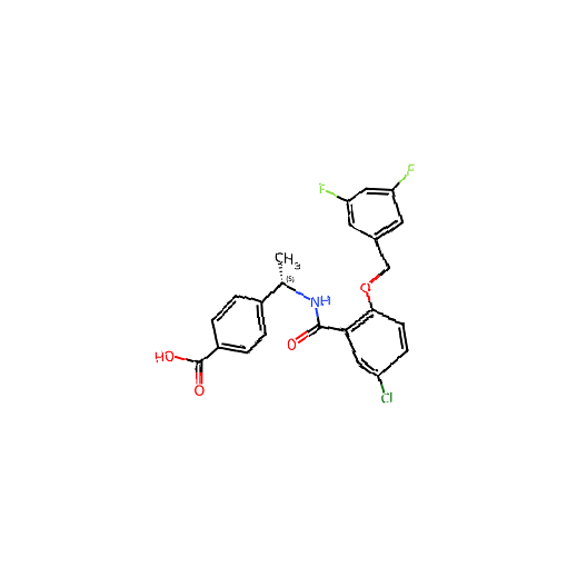 C[C@H](NC(=O)c1cc(Cl)ccc1OCc1cc(F)cc(F)c1)c1ccc(C(=O)O)cc1